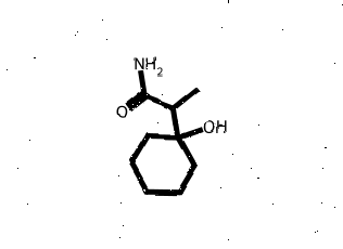 CC(C(N)=O)C1(O)CCCCC1